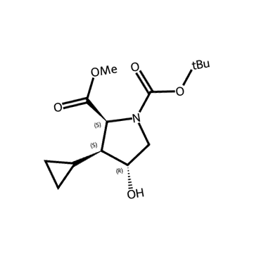 COC(=O)[C@@H]1[C@H](C2CC2)[C@@H](O)CN1C(=O)OC(C)(C)C